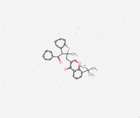 CC(C)(C)c1cccc2c(=O)c(CC3(C)Sc4ccccc4C3C(=O)c3ccccc3)coc12